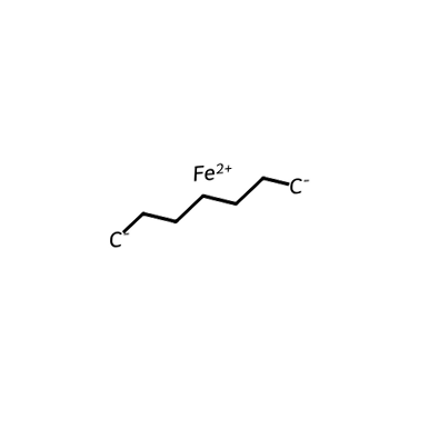 [CH2-]CCCCC[CH2-].[Fe+2]